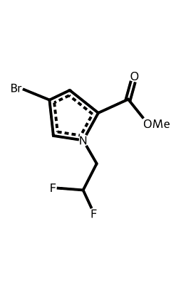 COC(=O)c1cc(Br)cn1CC(F)F